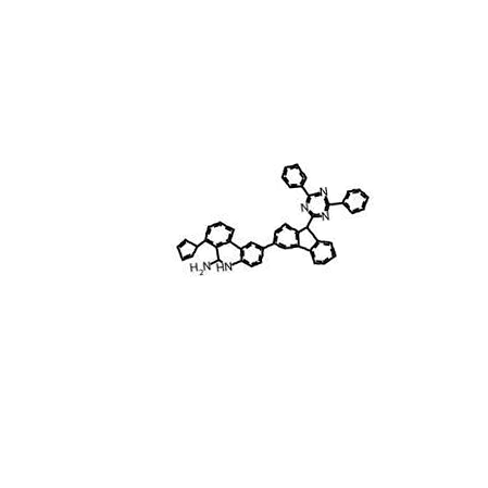 NC1Nc2ccc(-c3ccc4c(c3)-c3ccccc3C4c3nc(-c4ccccc4)nc(-c4ccccc4)n3)cc2-c2cccc(C3C=CC=C3)c21